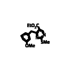 CCOC(=O)c1cnc(SC)nc1Cc1cccc(OC)c1